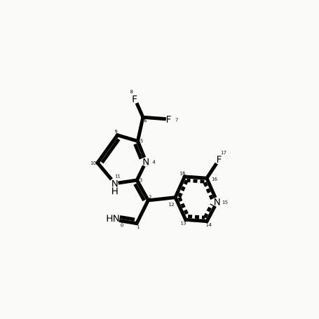 N=C/C(=C1/N=C(C(F)F)C=CN1)c1ccnc(F)c1